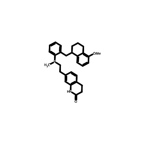 COc1cccc2c1CCCC2Cc1ccccc1N(C)CCc1ccc2c(c1)NC(=O)CC2